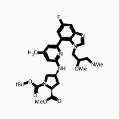 CNCC(Cn1cnc2cc(F)cc(-c3cc(C)cc(N[C@H]4C[C@@H](C(=O)OC)N(C(=O)OC(C)(C)C)C4)n3)c21)OC